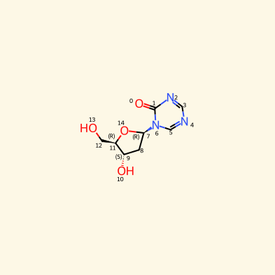 O=c1ncncn1[C@H]1C[C@H](O)[C@@H](CO)O1